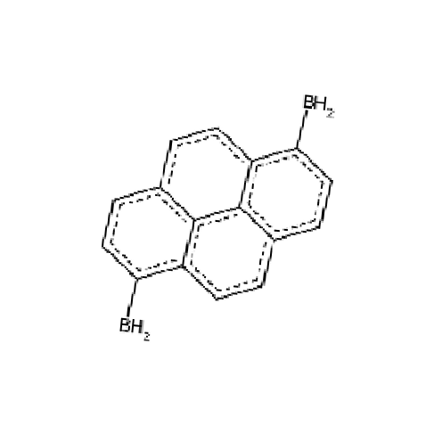 Bc1ccc2ccc3c(B)ccc4ccc1c2c43